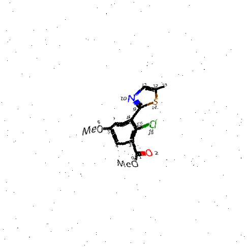 COC(=O)c1cc(OC)cc(-c2ncc(C)s2)c1Cl